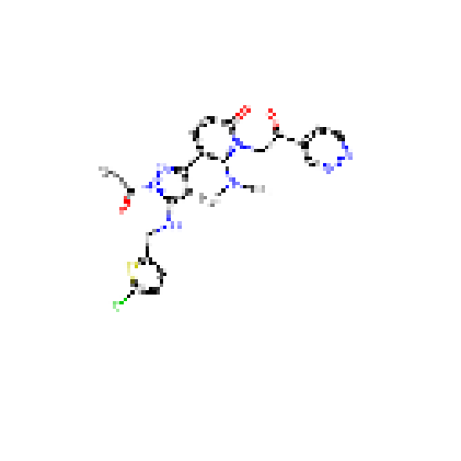 CN(C)c1c(-c2cc(NCc3ccc(Cl)s3)n(C(=O)C(C)(C)C)n2)ccc(=O)n1CC(=O)c1ccnnc1